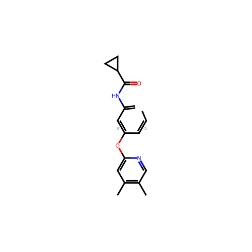 C=C(/C=C(\C=C/C)Oc1cc(C)c(C)cn1)NC(=O)C1CC1